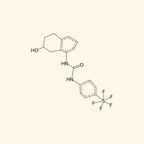 O=C(Nc1ccc(S(F)(F)(F)(F)F)cc1)Nc1cccc2c1CC(O)CC2